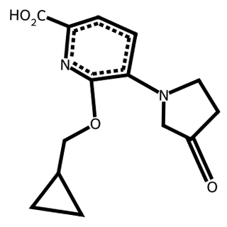 O=C1CCN(c2ccc(C(=O)O)nc2OCC2CC2)C1